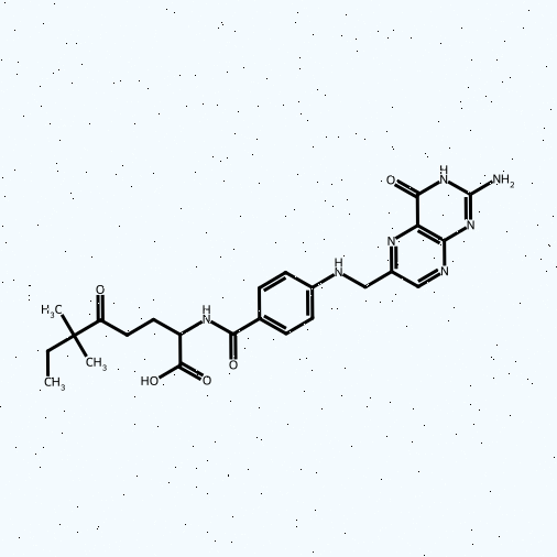 CCC(C)(C)C(=O)CCC(NC(=O)c1ccc(NCc2cnc3nc(N)[nH]c(=O)c3n2)cc1)C(=O)O